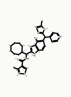 Cc1nnc(C(c2ccncc2)c2ccc3[nH]c(C(NC(=O)c4conc4C)C4CCCCCCC4)nc3c2F)o1